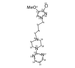 COc1cn(CCCCN2CCN(c3ncccn3)CC2)nc1Cl